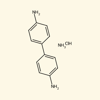 Cl.N.Nc1ccc(-c2ccc(N)cc2)cc1